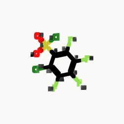 O=S(=O)(Cl)c1c(F)c(F)c(F)c(F)c1Cl